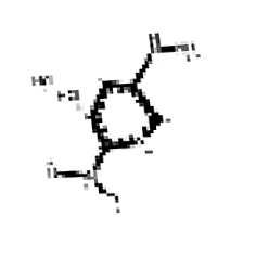 CCN(CC)c1ccc(NN)cn1.Cl.Cl